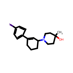 CC1(O)CCN(C2C=C(c3ccc(I)cc3)CCC2)CC1